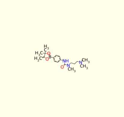 C=C1OB(c2ccc(NC(=O)N(C)CCCN(C)C)cc2)OC1(C)C